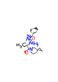 C[C@@H](Nc1nnc(-c2ccccc2)o1)C(=O)N1CCCC2(CC2)C1